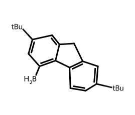 Bc1cc(C(C)(C)C)cc2c1-c1ccc(C(C)(C)C)cc1C2